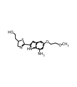 COCCOc1cc(N)c2[nH]c(C3=NCC(CCO)S3)cc2c1